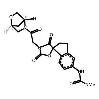 CNC(=O)Nc1ccc2c(c1)CCC21OC(=O)N(CC(=O)N2C[C@@H]3C[C@@H]2CO3)C1=O